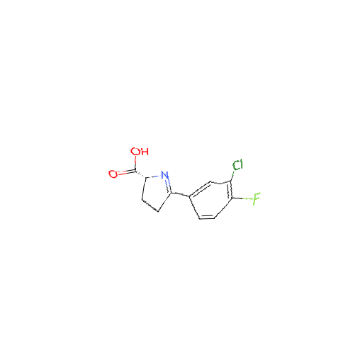 O=C(O)[C@H]1CCC(c2ccc(F)c(Cl)c2)=N1